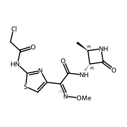 CO/N=C(\C(=O)N[C@H]1C(=O)N[C@@H]1C)c1csc(NC(=O)CCl)n1